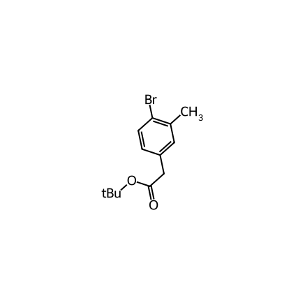 Cc1cc(CC(=O)OC(C)(C)C)ccc1Br